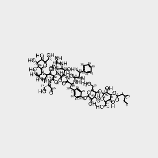 CCC(C)CC(=O)OC1C(O)C(CO)OC(OC2C(CO)OC(Oc3ccc(C[C@H](NC(=O)[C@@H](N)C(C)c4ccccc4)C(=O)N[C@H](C(=O)N[C@H](C(=O)N[C@H]([C]=O)CO)C(O)C4CNC(=N)N4C4OC(CO)C(O)C(O)C4O)C(O)C4CNC(=N)N4)cc3)C(O)C2O)C1O